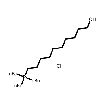 CCCC[P+](CCCC)(CCCC)CCCCCCCCCCO.[Cl-]